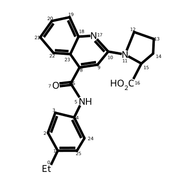 CCc1ccc(NC(=O)c2cc(N3CCCC3C(=O)O)nc3ccccc23)cc1